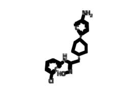 Nc1ccc([C@H]2CC[C@@H](C/C(=N/O)Nc3cccc(Cl)c3)CC2)cc1